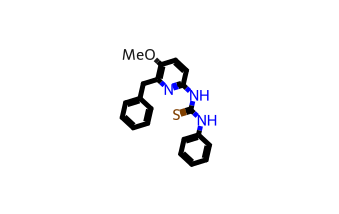 COc1ccc(NC(=S)Nc2ccccc2)nc1Cc1ccccc1